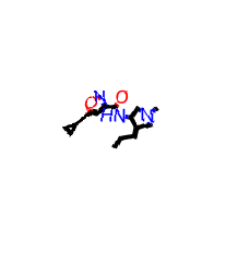 CCCC1CN(C)CC1NC(=O)c1cc(C2CC2)on1